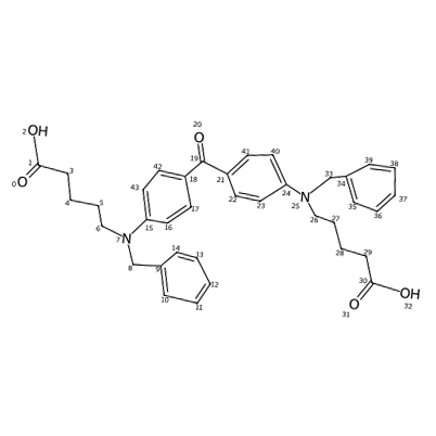 O=C(O)CCCCN(Cc1ccccc1)c1ccc(C(=O)c2ccc(N(CCCCC(=O)O)Cc3ccccc3)cc2)cc1